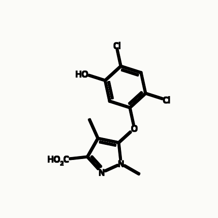 Cc1c(C(=O)O)nn(C)c1Oc1cc(O)c(Cl)cc1Cl